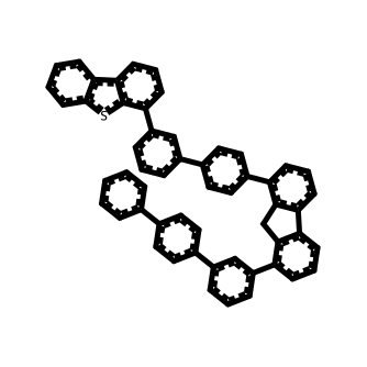 c1ccc(-c2ccc(-c3cccc(-c4cccc5c4Cc4c(-c6ccc(-c7cccc(-c8cccc9c8sc8ccccc89)c7)cc6)cccc4-5)c3)cc2)cc1